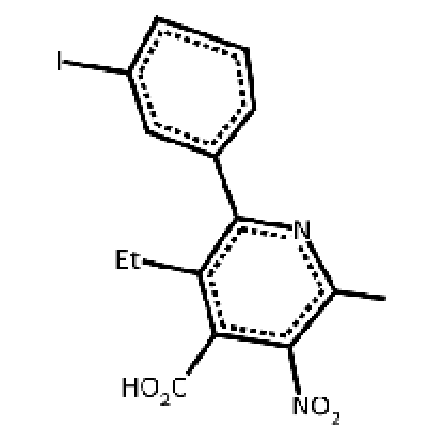 CCc1c(-c2cccc(I)c2)nc(C)c([N+](=O)[O-])c1C(=O)O